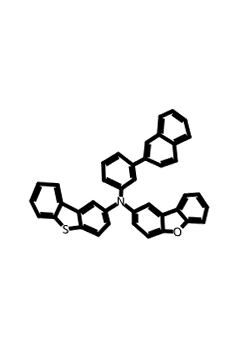 c1cc(-c2ccc3ccccc3c2)cc(N(c2ccc3oc4ccccc4c3c2)c2ccc3sc4ccccc4c3c2)c1